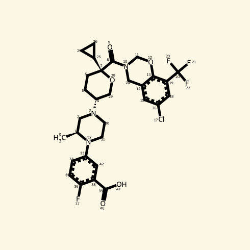 C[C@H]1CN([C@@H]2CC[C@@](C(=O)N3COc4c(cc(Cl)cc4C(F)(F)F)C3)(C3CC3)OC2)CCN1c1ccc(F)c(C(=O)O)c1